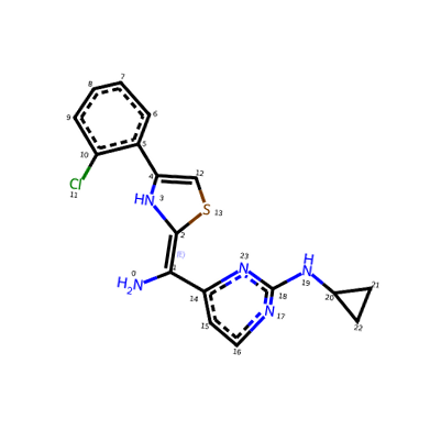 N/C(=C1\NC(c2ccccc2Cl)=CS1)c1ccnc(NC2CC2)n1